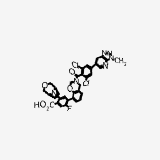 Cn1nnc2cc(-c3cc(Cl)c(C(=O)N4COc5c(cccc5-c5cc(N6C7CCC6COC7)c(C(=O)O)cc5F)C4)c(Cl)c3)cnc21